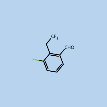 O=Cc1cccc(F)c1CC(F)(F)F